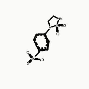 O=S(=O)(Cl)c1ccc(N2CCNS2(=O)=O)cc1